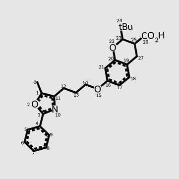 Cc1oc(-c2ccccc2)nc1CCCOc1ccc2c(c1)OC(C(C)(C)C)C(C(=O)O)C2